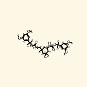 COc1cc(OC)cc(C(C)(C)OC(=O)NCC2(C)CC(NC(=O)OC(C)(C)c3cc(OC)cc(OC)c3)CC(C)(C)C2)c1